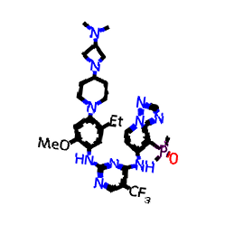 CCc1cc(Nc2ncc(C(F)(F)F)c(Nc3ccn4ncnc4c3P(C)(C)=O)n2)c(OC)cc1N1CCC(N2CC(N(C)C)C2)CC1